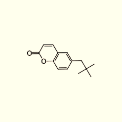 CC(C)(C)Cc1ccc2oc(=O)ccc2c1